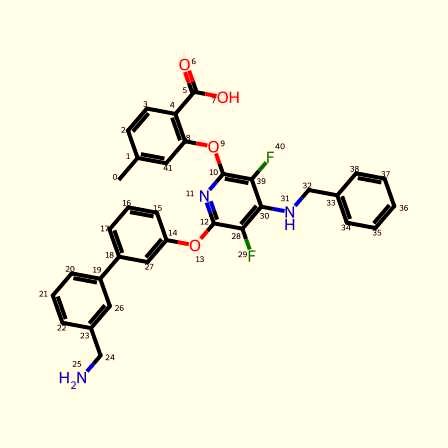 Cc1ccc(C(=O)O)c(Oc2nc(Oc3cccc(-c4cccc(CN)c4)c3)c(F)c(NCc3ccccc3)c2F)c1